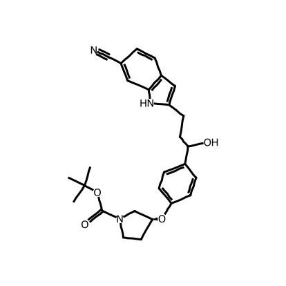 CC(C)(C)OC(=O)N1CC[C@H](Oc2ccc(C(O)CCc3cc4ccc(C#N)cc4[nH]3)cc2)C1